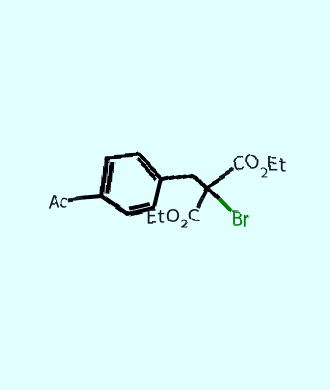 CCOC(=O)C(Br)(Cc1ccc(C(C)=O)cc1)C(=O)OCC